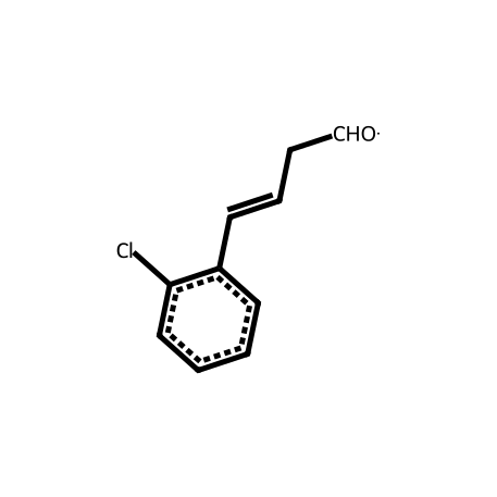 O=[C]C/C=C/c1ccccc1Cl